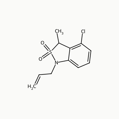 C=CCN1c2cccc(Cl)c2C(C)S1(=O)=O